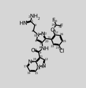 N=C(N)CCn1cc(NC(=O)c2cnn3cccnc23)c(-c2cc(Cl)ccc2OC(F)F)n1